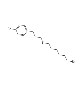 BrCCCCCCOCCCc1ccc(Br)cc1